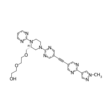 Cn1cc(-c2ncc(C#Cc3cnc(N4CCN(c5ncccn5)[C@@H](COCCOCCO)C4)nc3)cn2)cn1